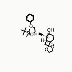 CC(C)(C)[Si](C)(C)O[C@@H](C#C[C@@H]1[C@@H](O)CC[C@]2(C)[C@H]1CC21OCCO1)COc1ccccc1